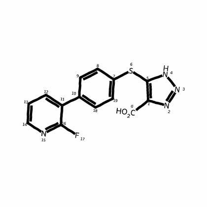 O=C(O)c1nn[nH]c1Sc1ccc(-c2cccnc2F)cc1